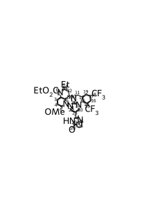 CCOC(=O)N1c2ccc(OC)nc2[C@@H](N(Cc2cc(C(F)(F)F)cc(C(F)(F)F)c2)c2ncc(-c3noc(=O)[nH]3)cn2)C[C@H]1CC